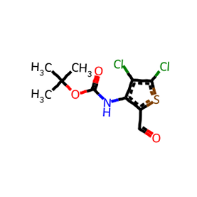 CC(C)(C)OC(=O)Nc1c(C=O)sc(Cl)c1Cl